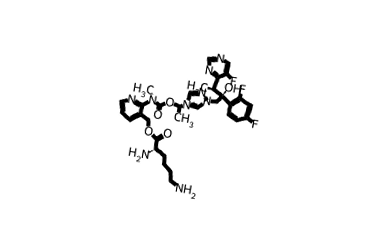 CC(OC(=O)N(C)c1ncccc1COC(=O)[C@@H](N)CCCCN)[n+]1cnn(C[C@](O)(c2ccc(F)cc2F)[C@@H](C)c2ncncc2F)c1